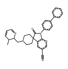 CC1C=CC=NC1CN1CCC2(CC1)C(=O)N(c1ccc(-c3ccccc3)cc1)c1ncc(C#N)cc12